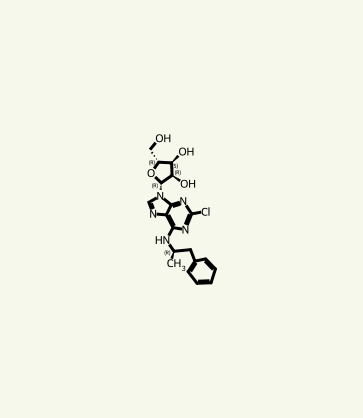 C[C@H](Cc1ccccc1)Nc1nc(Cl)nc2c1ncn2[C@@H]1O[C@H](CO)[C@@H](O)[C@H]1O